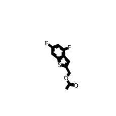 CC(=O)OCc1cc2c(F)cc(F)cc2s1